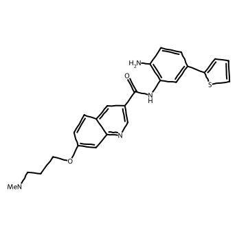 CNCCCOc1ccc2cc(C(=O)Nc3cc(-c4cccs4)ccc3N)cnc2c1